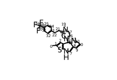 Cc1cc2c(s1)NC=c1cccnc1=C2N1CCN(C)C(CCc2ccc(C(F)(F)F)cc2)C1